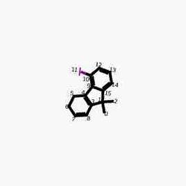 CC1(C)C2=C(CCC=C2)c2c(I)cccc21